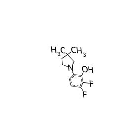 CC1(C)CCN(c2ccc(F)c(F)c2O)C1